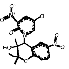 CC1(C)Oc2ccc([N+](=O)[O-])cc2C(n2cc(Cl)cc([N+](=O)[O-])c2=O)C1(C)O